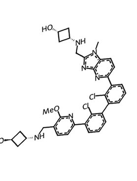 COc1nc(-c2cccc(-c3cccc(-c4ccc5c(n4)nc(CN[C@H]4C[C@@H](O)C4)n5C)c3Cl)c2Cl)ccc1CN[C@H]1C[C@H](O)C1